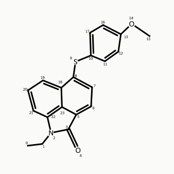 CCN1C(=O)c2ccc(Sc3ccc(OC)cc3)c3cccc1c23